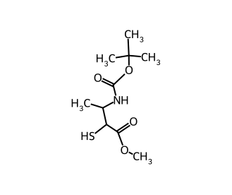 COC(=O)C(S)C(C)NC(=O)OC(C)(C)C